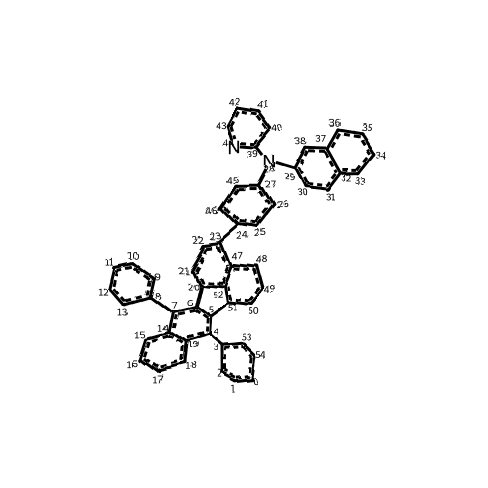 c1ccc(-c2c3c(c(-c4ccccc4)c4ccccc24)-c2ccc(-c4ccc(N(c5ccc6ccccc6c5)c5ccccn5)cc4)c4cccc-3c24)cc1